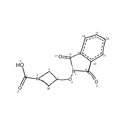 O=C(O)N1CC(ON2C(=O)c3ccccc3C2=O)C1